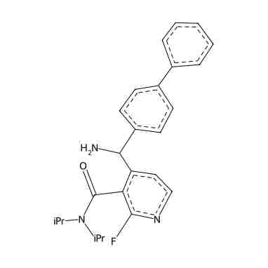 CC(C)N(C(=O)c1c(C(N)c2ccc(-c3ccccc3)cc2)ccnc1F)C(C)C